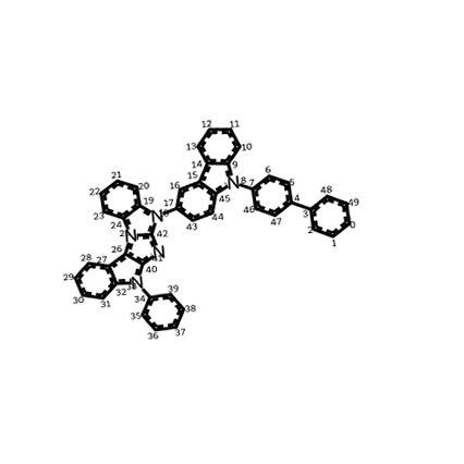 c1ccc(-c2ccc(-n3c4ccccc4c4cc(-n5c6ccccc6n6c7c8ccccc8n(-c8ccccc8)c7nc56)ccc43)cc2)cc1